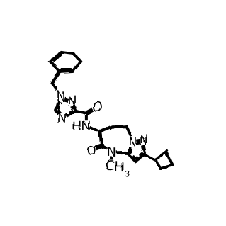 CN1C(=O)C(NC(=O)c2ncn(CC3=CCCC=C3)n2)CCn2nc(C3CCC3)cc21